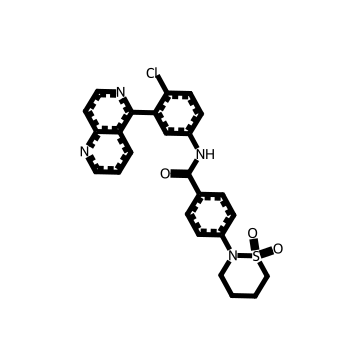 O=C(Nc1ccc(Cl)c(-c2nccc3ncccc23)c1)c1ccc(N2CCCCS2(=O)=O)cc1